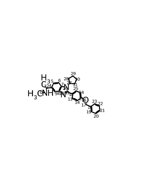 CNC(C)c1ccc2c(c1)nc(-c1ccc(OCc3ccccc3)cc1)n2C1CCCC1